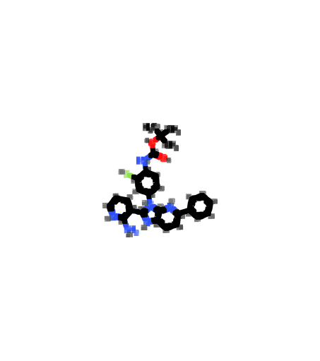 CC(C)(C)OC(=O)Nc1ccc(-n2c(-c3cccnc3N)nc3ccc(-c4ccccc4)nc32)cc1F